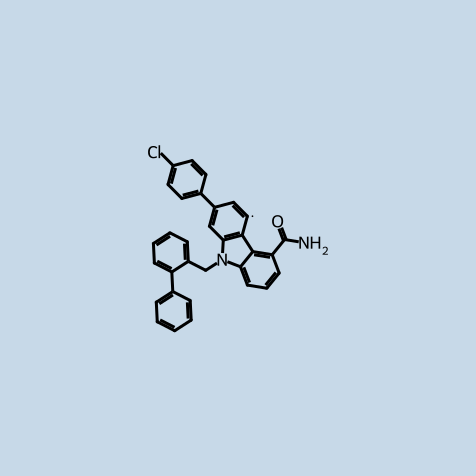 NC(=O)c1cccc2c1c1[c]cc(-c3ccc(Cl)cc3)cc1n2Cc1ccccc1-c1ccccc1